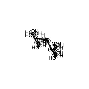 CCN(CC(=O)NCCCCCC(=O)N(CCO[C@H]1O[C@H](CO)[C@@H](O)[C@H](O)[C@@H]1O)CCO[C@H]1O[C@H](CO)[C@@H](O)[C@H](O)[C@@H]1O)CC(=O)NCCCCCC(=O)N(CCO[C@H]1O[C@H](CO)[C@@H](O)[C@H](O)[C@@H]1O)CCO[C@H]1O[C@H](CO)[C@@H](O)[C@H](O)[C@@H]1O